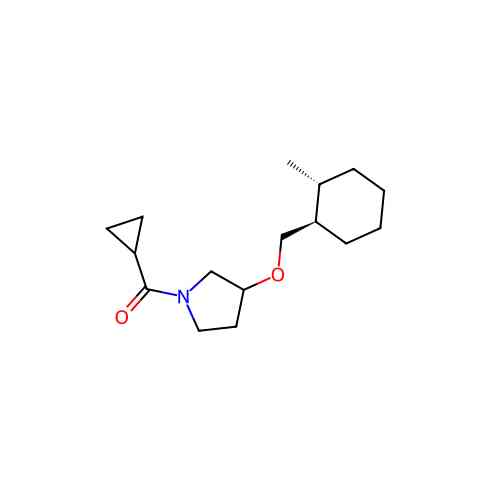 C[C@@H]1CCCC[C@H]1COC1CCN(C(=O)C2CC2)C1